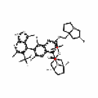 Cc1nc2[nH]nc(C)c2c(-c2c(F)cc3c(N4C[C@H]5CC[C@@H](C4)N5C(=O)OC(C)(C)C)nc(OC[C@@]45CCCN4C[C@H](F)C5)nc3c2F)c1C(F)(F)F